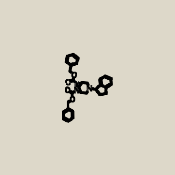 O=C(OCc1ccccc1)N1C2CC(CN(C3CCc4ccccc43)C2)N1C(=O)OCc1ccccc1